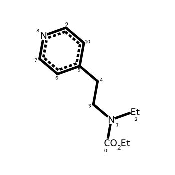 CCOC(=O)N(CC)CCc1ccncc1